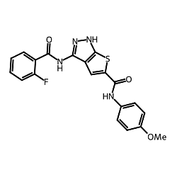 COc1ccc(NC(=O)c2cc3c(NC(=O)c4ccccc4F)n[nH]c3s2)cc1